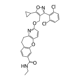 CCNC(=O)c1ccc2c(c1)Oc1ccc(OCc3c(-c4c(Cl)cccc4Cl)noc3C3CC3)nc1CC2